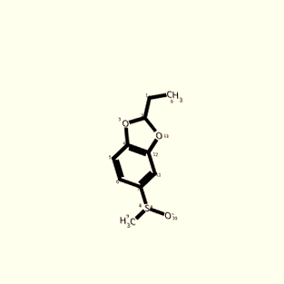 CCC1Oc2ccc([S+](C)[O-])cc2O1